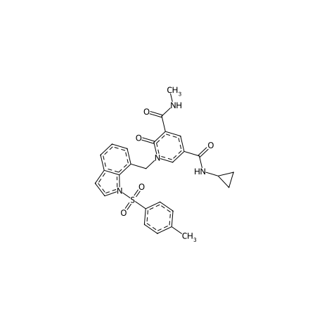 CNC(=O)c1cc(C(=O)NC2CC2)cn(Cc2cccc3ccn(S(=O)(=O)c4ccc(C)cc4)c23)c1=O